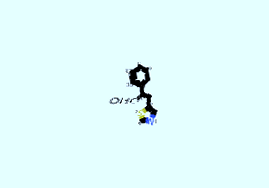 O=CC(Cc1cncs1)c1ccccc1